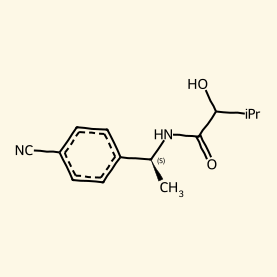 CC(C)C(O)C(=O)N[C@@H](C)c1ccc(C#N)cc1